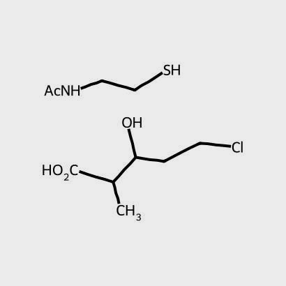 CC(=O)NCCS.CC(C(=O)O)C(O)CCCl